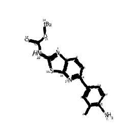 Cc1cc(-c2ccc3nc(NC(=O)OC(C)(C)C)sc3n2)ccc1N